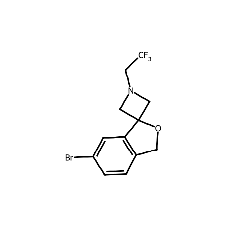 FC(F)(F)CN1CC2(C1)OCc1ccc(Br)cc12